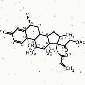 C=CC(=O)O[C@]1(C(=O)COC(C)=O)[C@H](C)CC2C3C[C@H](F)C4=CC(=O)C=C[C@]4(C)C3[C@@H](O)C[C@@]21C